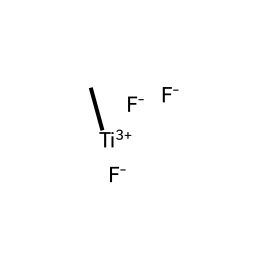 [CH3][Ti+3].[F-].[F-].[F-]